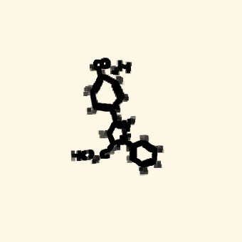 O=C(O)c1ccc(C2=NN(c3ccccc3)C(C(=O)O)C2)cc1